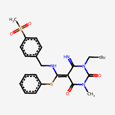 CN1C(=O)/C(=C(/NCc2ccc(S(C)(=O)=O)cc2)Sc2ccccc2)C(=N)N(CC(C)(C)C)C1=O